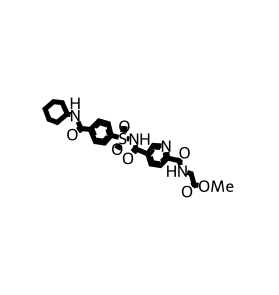 COC(=O)CNC(=O)c1ccc(C(=O)NS(=O)(=O)c2ccc(C(=O)NC3CCCCC3)cc2)cn1